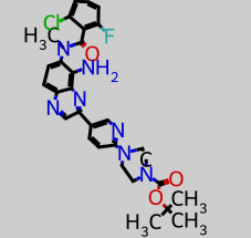 CN(C(=O)c1c(F)cccc1Cl)c1ccc2ncc(-c3ccc(N4CCN(C(=O)OC(C)(C)C)CC4)nc3)nc2c1N